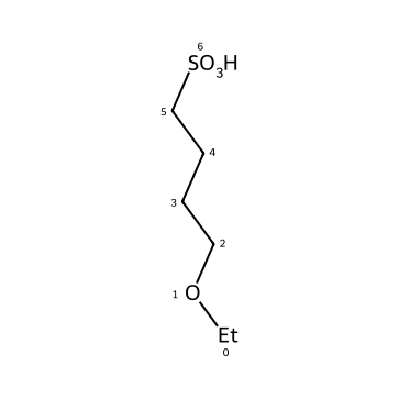 CCOCCCCS(=O)(=O)O